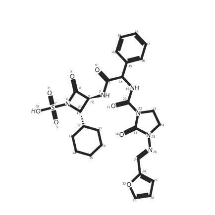 O=C(N[C@@H]1C(=O)N(S(=O)(=O)O)[C@H]1C1CCCCC1)C(NC(=O)N1CCN(N=Cc2ccco2)C1=O)c1ccccc1